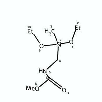 CCO[Si](C)(CNC(=O)OC)OCC